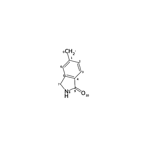 [CH2]c1ccc2c(c1)CNC2=O